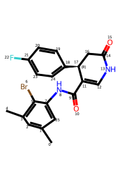 Cc1cc(C)c(Br)c(NC(=O)C2=CNC(=O)C[C@@H]2c2ccc(F)cc2)c1